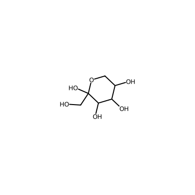 OCC1(O)OCC(O)C(O)C1O